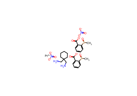 CS(=O)c1ccccc1C(=O)[O-].CS(=O)c1ccccc1C(=O)[O-].NCC1(CN)CCCCC1.O=[N+]([O-])[O-].O=[N+]([O-])[O-].[Pt+4]